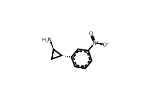 N[C@@H]1C[C@H]1c1cccc([N+](=O)[O-])c1